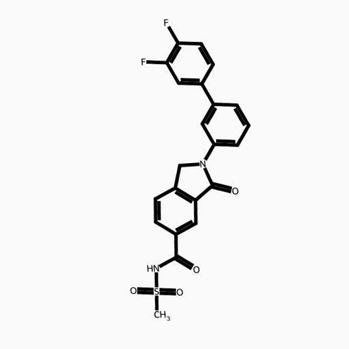 CS(=O)(=O)NC(=O)c1ccc2c(c1)C(=O)N(c1cccc(-c3ccc(F)c(F)c3)c1)C2